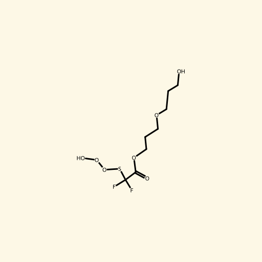 O=C(OCCCOCCCO)C(F)(F)SOOO